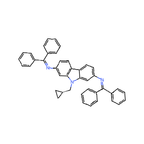 c1ccc(C(=Nc2ccc3c4ccc(N=C(c5ccccc5)c5ccccc5)cc4n(CC4CC4)c3c2)c2ccccc2)cc1